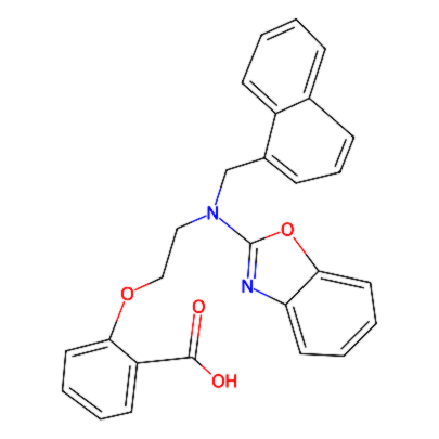 O=C(O)c1ccccc1OCCN(Cc1cccc2ccccc12)c1nc2ccccc2o1